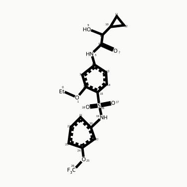 CCOc1cc(NC(=O)C(O)C2CC2)ccc1S(=O)(=O)Nc1cccc(OC(F)(F)F)c1